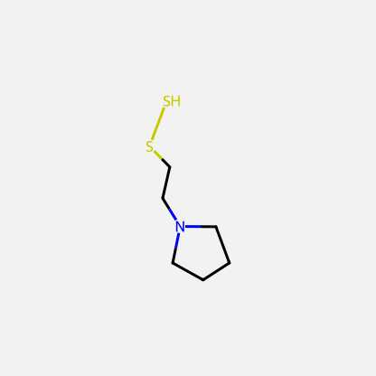 SSCCN1CCCC1